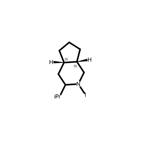 CC(C)C1C[C@@H]2CCC[C@@H]2CN1I